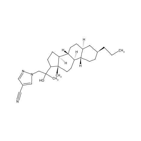 CCC[C@H]1CC[C@H]2[C@@H](CC[C@@H]3[C@@H]2CC[C@]2(C)C(C(C)(O)Cn4cc(C#N)cn4)CC[C@@H]32)C1